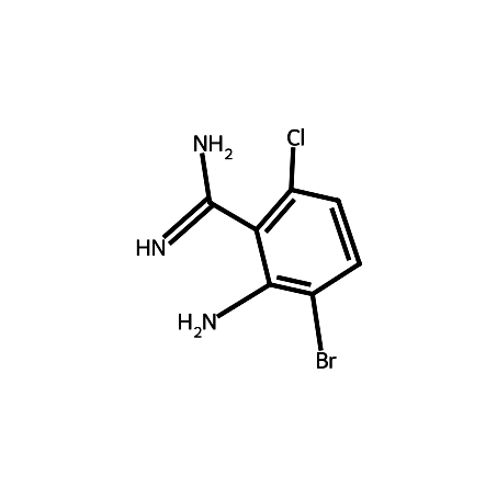 N=C(N)c1c(Cl)ccc(Br)c1N